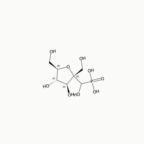 O=P(O)(O)C(O)[C@@]1(CO)O[C@H](CO)[C@@H](O)[C@@H]1O